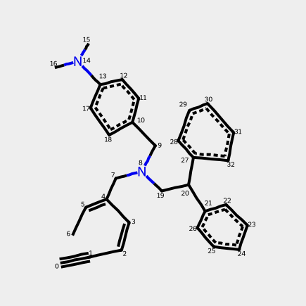 C#C/C=C\C(=C/C)CN(Cc1ccc(N(C)C)cc1)CC(c1ccccc1)c1ccccc1